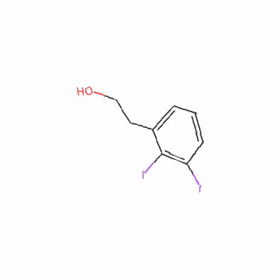 OCCc1cccc(I)c1I